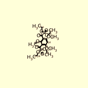 CCOP(=O)(OCC)C(=O)c1c(OC)cc(OC)c(C(=O)P(=O)(OCC)OCC)c1OC